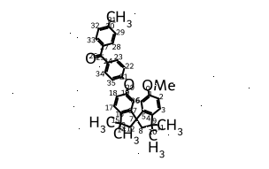 COc1ccc2c(c1)C1(CC2(C)C)CC(C)(C)c2ccc(Oc3ccc(C(=O)c4ccc(C)cc4)cc3)cc21